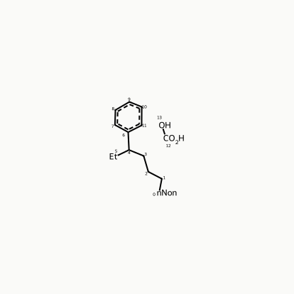 CCCCCCCCCCCCC(CC)c1ccccc1.O=C(O)O